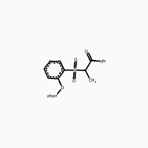 CCCCCOc1ccccc1S(=O)(=O)C(C)C(=O)CCC